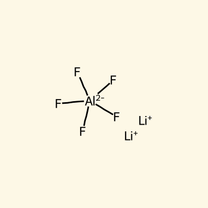 [F][Al-2]([F])([F])([F])[F].[Li+].[Li+]